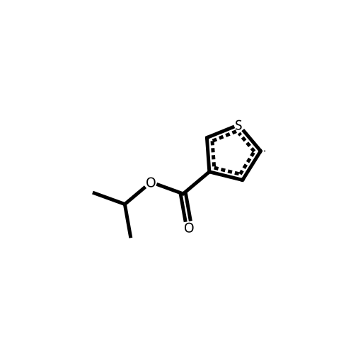 CC(C)OC(=O)c1c[c]sc1